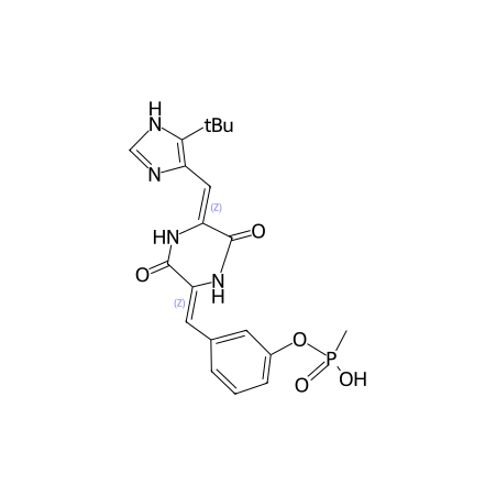 CC(C)(C)c1[nH]cnc1/C=c1\[nH]c(=O)/c(=C/c2cccc(OP(C)(=O)O)c2)[nH]c1=O